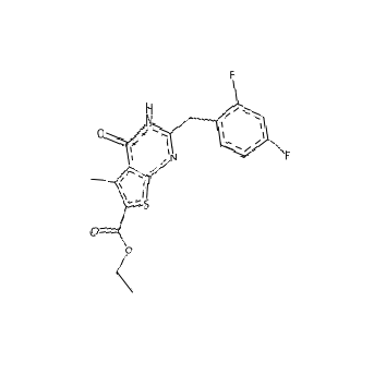 CCOC(=O)c1sc2nc(Cc3ccc(F)cc3F)[nH]c(=O)c2c1C